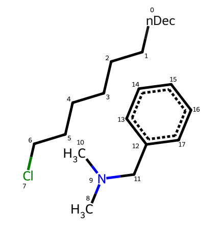 CCCCCCCCCCCCCCCCCl.CN(C)Cc1ccccc1